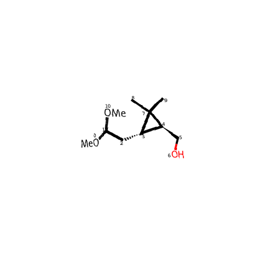 COC(C[C@H]1[C@H](CO)C1(C)C)OC